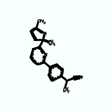 CC1=NC(C)(c2cccc(-c3ccc(C(C)C#N)cc3)n2)C=C1